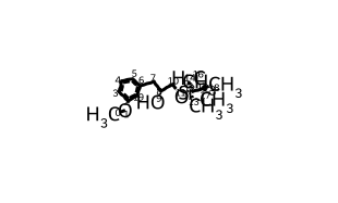 COc1cccc(C[C@@H](O)CO[Si](C)(C)C(C)(C)C)c1